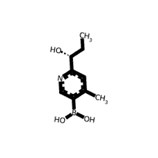 CC[C@@H](O)c1cc(C)c(B(O)O)cn1